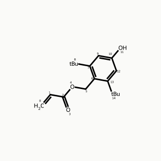 C=CC(=O)OCc1c(C(C)(C)C)cc(O)cc1C(C)(C)C